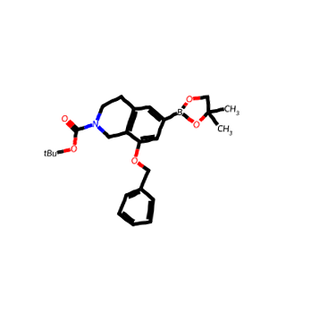 CC(C)(C)OC(=O)N1CCc2cc(B3OCC(C)(C)O3)cc(OCc3ccccc3)c2C1